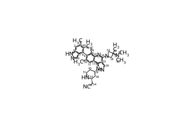 Cc1cc2[nH]ncc2c(-c2c(C)cc3c(nc(N4CC(C)(N(C)C)C4)c4cnn([C@H]5CCN[C@H](CC#N)C5)c43)c2F)c1C